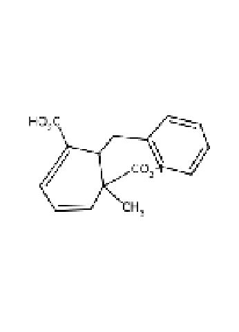 CC1(C(=O)O)C=CC=C(C(=O)O)C1Cc1ccccc1